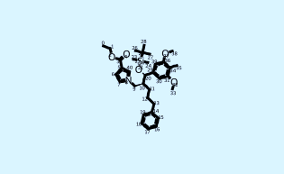 CCOC(=O)c1ccn(C[C@H](CCCc2ccccc2)[C@H](O[Si](C)(C)C(C)(C)C)c2cc(OC)c(C)c(OC)c2)c1